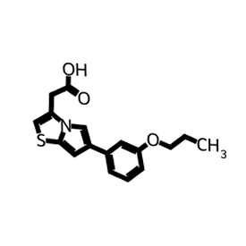 CCCOc1cccc(-c2cc3scc(CC(=O)O)n3c2)c1